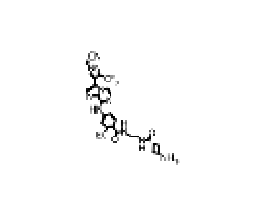 CCc1cc(Nc2nccn3c(-c4cn(CC#N)nc4C(F)(F)F)cnc23)ccc1C(=O)NCCNC(=O)[C@H]1C[C@@H](N)C1